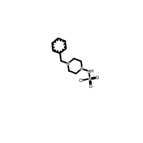 O=S(=O)(Cl)NN1CCN(Cc2ccccc2)CC1